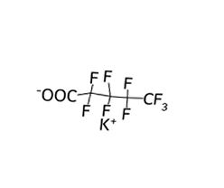 O=C([O-])C(F)(F)C(F)(F)C(F)(F)C(F)(F)F.[K+]